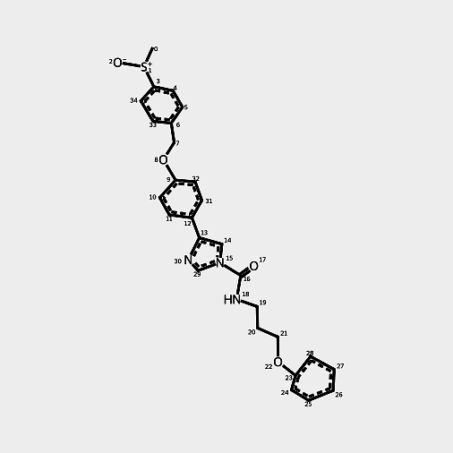 C[S+]([O-])c1ccc(COc2ccc(-c3cn(C(=O)NCCCOc4ccccc4)cn3)cc2)cc1